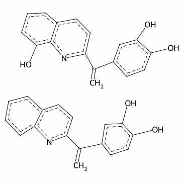 C=C(c1ccc(O)c(O)c1)c1ccc2cccc(O)c2n1.C=C(c1ccc(O)c(O)c1)c1ccc2ccccc2n1